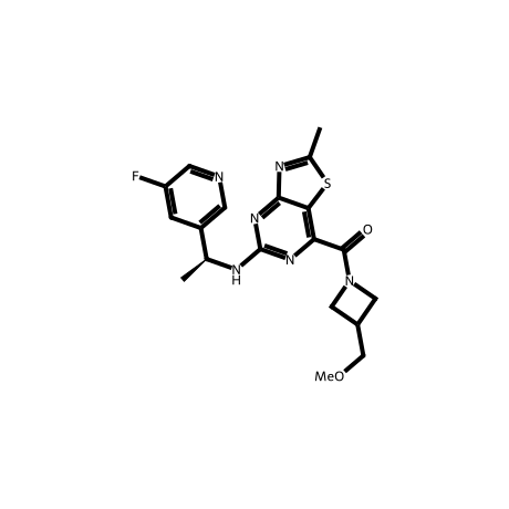 COCC1CN(C(=O)c2nc(N[C@@H](C)c3cncc(F)c3)nc3nc(C)sc23)C1